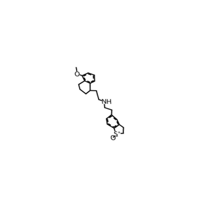 COc1cccc2c1CCCC2CCNCCc1ccc2c(c1)CC[S+]2[O-]